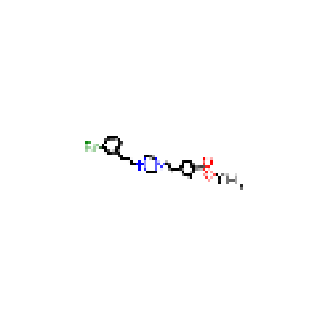 CCOC(=O)c1ccc(CCN2CCN(CC=Cc3cccc(Br)c3)CC2)cc1